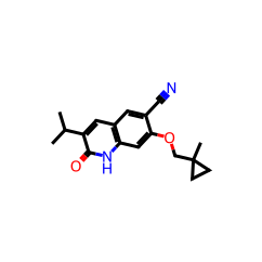 CC(C)c1cc2cc(C#N)c(OCC3(C)CC3)cc2[nH]c1=O